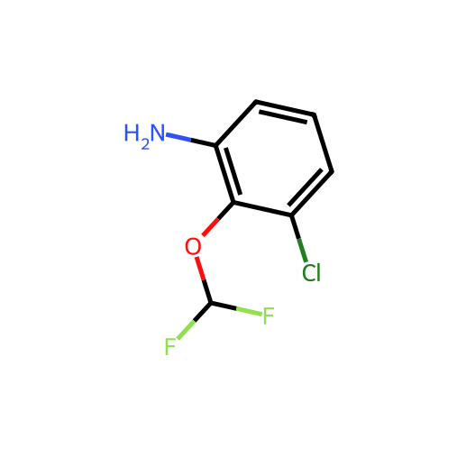 Nc1cccc(Cl)c1OC(F)F